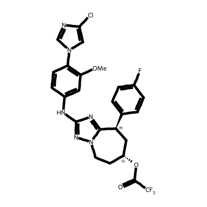 COc1cc(Nc2nc3n(n2)CC[C@@H](OC(=O)C(F)(F)F)C[C@@H]3c2ccc(F)cc2)ccc1-n1cnc(Cl)c1